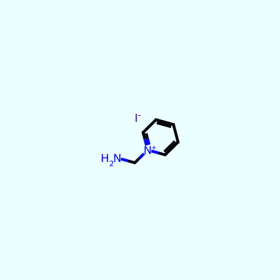 NC[n+]1ccccc1.[I-]